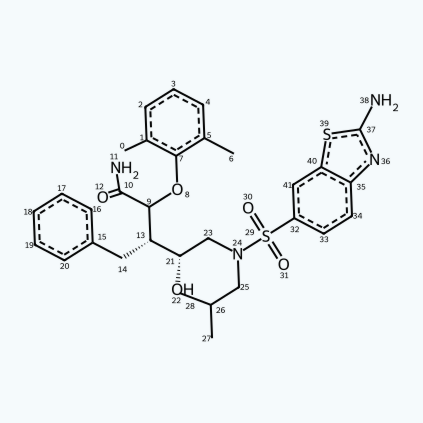 Cc1cccc(C)c1OC(C(N)=O)[C@@H](Cc1ccccc1)[C@@H](O)CN(CC(C)C)S(=O)(=O)c1ccc2nc(N)sc2c1